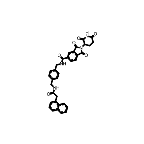 O=C(Cc1cccc2ccccc12)NCc1ccc(CNC(=O)c2ccc3c(c2)C(=O)N(C2CCC(=O)NC2=O)C3=O)cc1